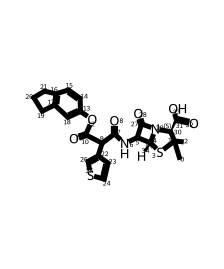 CC1(C)S[C@@H]2C(NC(=O)C(C(=O)Oc3ccc4c(c3)CCC4)c3ccsc3)C(=O)N2[C@H]1C(=O)O